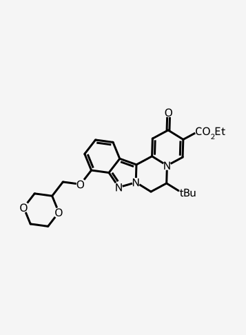 CCOC(=O)c1cn2c(cc1=O)-c1c3cccc(OCC4COCCO4)c3nn1CC2C(C)(C)C